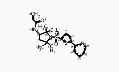 C=CC(=O)NC1CC(C)(C)N(S(=O)(=O)c2ccc(-c3ccccn3)s2)C1(C)C